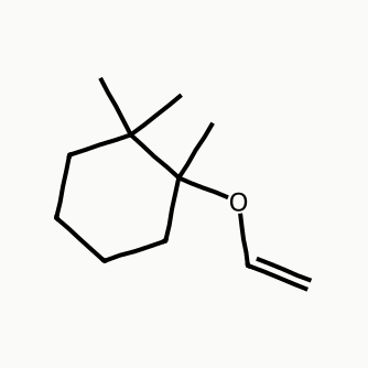 C=COC1(C)CCCCC1(C)C